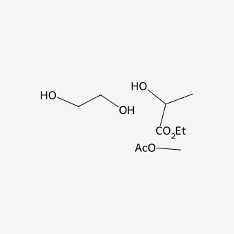 CCOC(=O)C(C)O.COC(C)=O.OCCO